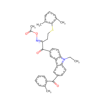 CCn1c2ccc(C(=O)/C(CCSc3c(C)cccc3C)=N/OC(C)=O)cc2c2cc(C(=O)c3ccccc3C)ccc21